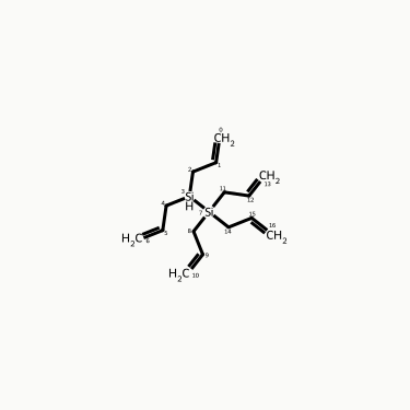 C=CC[SiH](CC=C)[Si](CC=C)(CC=C)CC=C